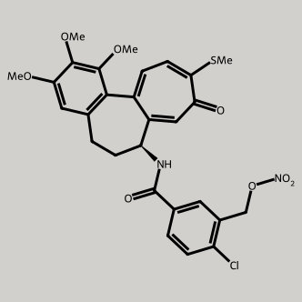 COc1cc2c(c(OC)c1OC)-c1ccc(SC)c(=O)cc1[C@@H](NC(=O)c1ccc(Cl)c(CO[N+](=O)[O-])c1)CC2